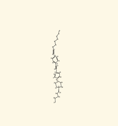 CCCCCCCC#Cc1ccc(C#Cc2ccc([C@H]3CC[C@H](CCCCC)CC3)cc2)cc1